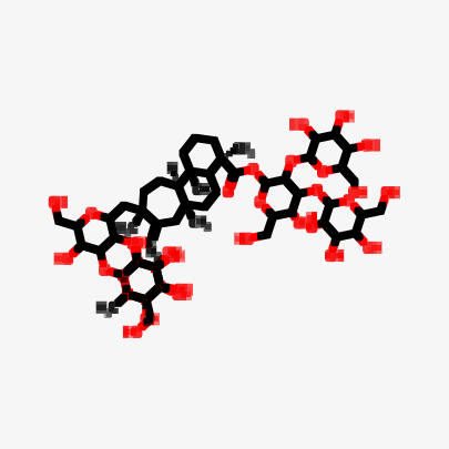 C=C1C[C@@]2(C)CCC3[C@](C)(C(=O)OC4OC(CO)C(O)C(OC5OC(CO)C(O)C(O)C5O)C4OC4OC(CO)C(O)C(O)C4O)CCC[C@@]3(C)[C@@H]2CC[C@@]1(C)CC1OC(CO)C(O)C(OC2OC(CO)C(O)C(O)C2O)C1OC1OC(C)C(O)C(O)C1O